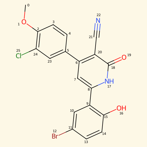 COc1ccc(-c2cc(-c3cc(Br)ccc3O)[nH]c(=O)c2C#N)cc1Cl